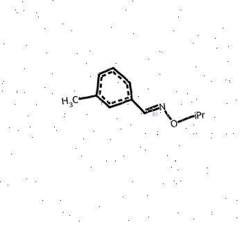 Cc1cccc(/[C]=N/OC(C)C)c1